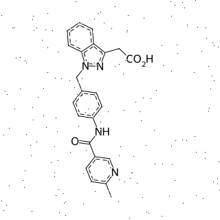 Cc1ccc(C(=O)Nc2ccc(Cn3nc(CC(=O)O)c4ccccc43)cc2)cn1